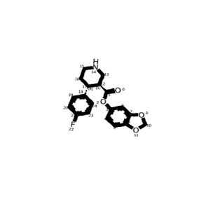 O=C(Oc1ccc2c(c1)OCO2)[C@@H]1CNCC[C@H]1c1ccc(F)cc1